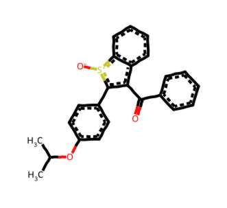 CC(C)Oc1ccc(-c2c(C(=O)c3ccccc3)c3ccccc3[s+]2[O-])cc1